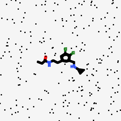 CCC(=O)NCCc1cc(Cl)c(Cl)c(CNC2CC2)c1